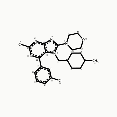 CC1CCC(Cn2c(N3CCOCC3)nc3nc(Cl)nc(-c4cccc(Cl)c4)c32)CC1